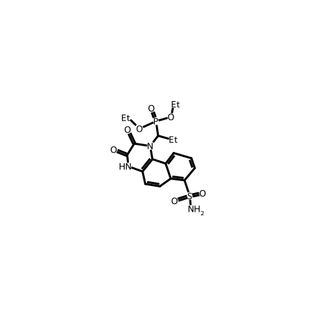 CCOP(=O)(OCC)C(CC)n1c(=O)c(=O)[nH]c2ccc3c(S(N)(=O)=O)cccc3c21